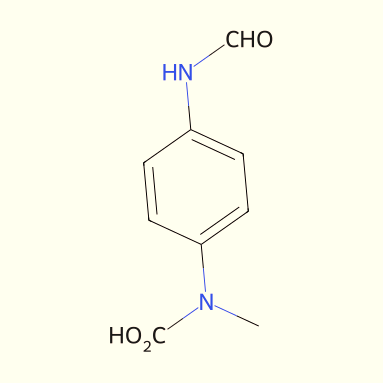 CN(C(=O)O)c1ccc(NC=O)cc1